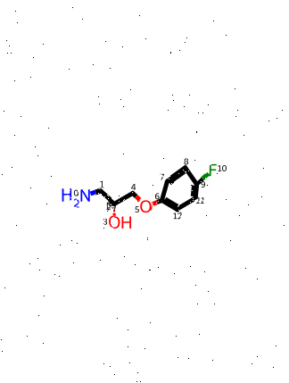 NC[C@@H](O)COc1ccc(F)cc1